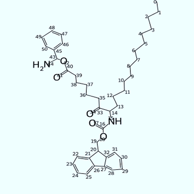 CCCCCCCCCCCCCCC(NC(=O)OCC1c2ccccc2-c2ccccc21)C(=O)CCCCCC(=O)OC(N)c1ccccc1